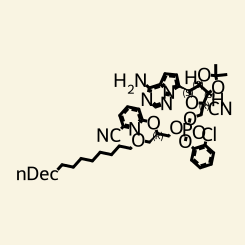 CCCCCCCCCCCCCCCCCCOC[C@H](COP(=O)(OC[C@@]1(C#N)O[C@@H](c2ccc3c(N)ncnn23)[C@@H]2OC(C)(C)O[C@@H]21)Oc1ccccc1Cl)Oc1cccc(C#N)n1